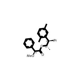 CO[C@H](C(=O)O[C@@H](C)[C@@H](c1cc(C)ccc1C)C(C)C)c1ccccc1